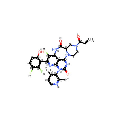 C=CC(=O)N1CCN2c3nc(=O)n(-c4c(C)ccnc4C(C)C)c4nc(-c5c(O)ccc(F)c5F)c(F)c(c34)NC(=O)C2C1